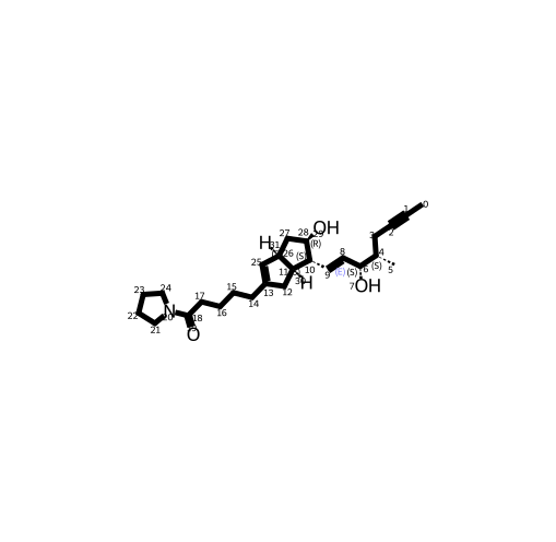 CC#CC[C@H](C)[C@H](O)/C=C/[C@@H]1[C@H]2CC(CCCCC(=O)N3CCCC3)=C[C@H]2C[C@H]1O